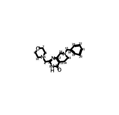 O=c1[nH]c(CN2CCOCC2)nc2c1CCN(Cc1ccccc1)C2